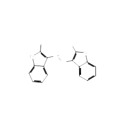 Cc1[nH]c2ccccc2c1[Se][Se]c1c(C)[nH]c2ccccc12